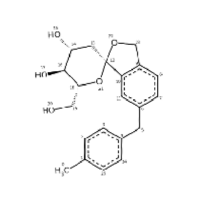 Cc1ccc(Cc2ccc3c(c2)[C@]2(C[C@@H](O)[C@H](O)[C@@H](CO)O2)OC3)cc1